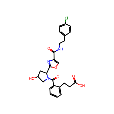 O=C(O)CCc1ccccc1C(=O)N1CC(O)CC1c1nc(C(=O)NCCc2ccc(Cl)cc2)co1